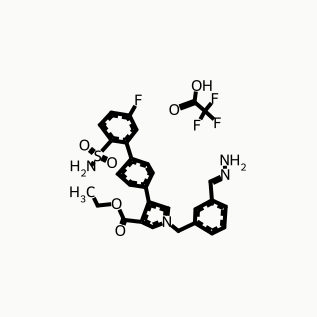 CCOC(=O)c1cn(Cc2cccc(C=NN)c2)cc1-c1ccc(-c2cc(F)ccc2S(N)(=O)=O)cc1.O=C(O)C(F)(F)F